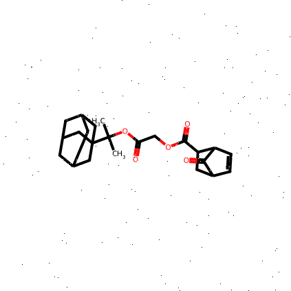 CC(C)(OC(=O)COC(=O)C1CC2C=CC1C2=O)C12CC3CC(CC(C3)C1)C2